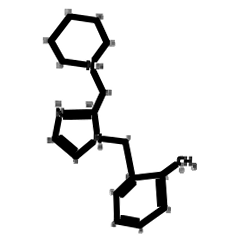 Cc1ccccc1Cn1ccnc1CN1CCCCC1